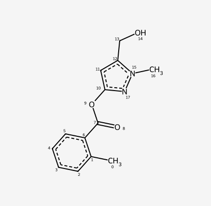 Cc1ccccc1C(=O)Oc1cc(CO)n(C)n1